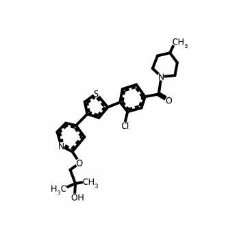 CC1CCN(C(=O)c2ccc(-c3cc(-c4ccnc(OCC(C)(C)O)c4)cs3)c(Cl)c2)CC1